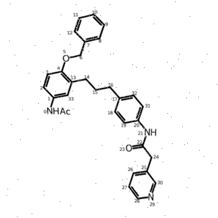 CC(=O)Nc1ccc(OCc2ccccc2)c(CCCc2ccc(NC(=O)Cc3cccnc3)cc2)c1